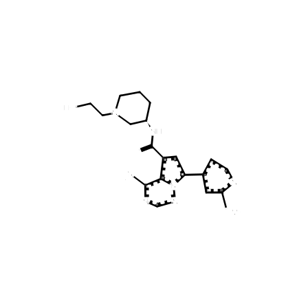 COc1cc(-c2cc(C(=O)N[C@@H]3CCCN(CCO)C3)c3c(N)ncnn23)ccn1